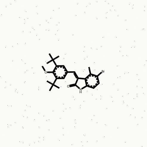 COc1c(C(C)(C)C)cc(C=C2C(=O)Nc3ccc(Br)c(C)c32)cc1C(C)(C)C